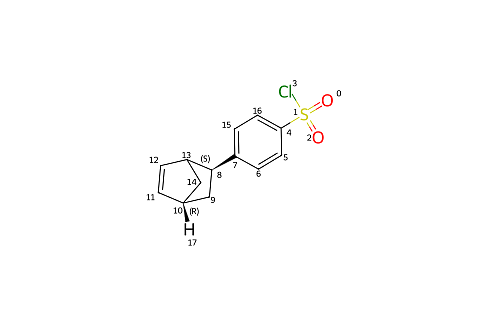 O=S(=O)(Cl)c1ccc([C@H]2C[C@@H]3C=CC2C3)cc1